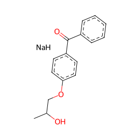 CC(O)COc1ccc(C(=O)c2ccccc2)cc1.[NaH]